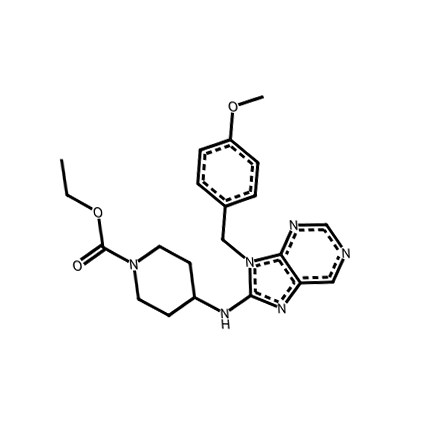 CCOC(=O)N1CCC(Nc2nc3cncnc3n2Cc2ccc(OC)cc2)CC1